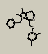 Cc1ccc(OCc2nccc3c(C)c(C)n(Cc4ccccc4)c23)c(C)c1